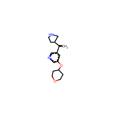 C=C(c1cncc(OC2CCOCC2)c1)C1CCNC1